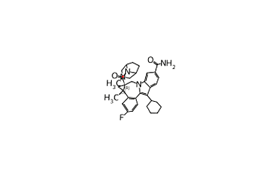 CN1CC2CCC(C1)N2C(=O)[C@@]12Cn3c(c(C4CCCCC4)c4ccc(C(N)=O)cc43)-c3ccc(F)cc3[C@]1(C)C2